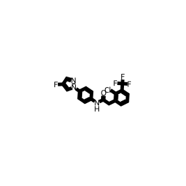 O=C(Cc1cccc(C(F)(F)F)c1Cl)Nc1ccc(-n2cc(F)cn2)cc1